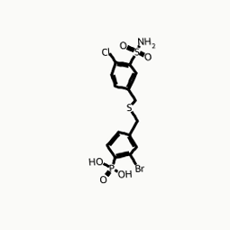 NS(=O)(=O)c1cc(CSCc2ccc(P(=O)(O)O)c(Br)c2)ccc1Cl